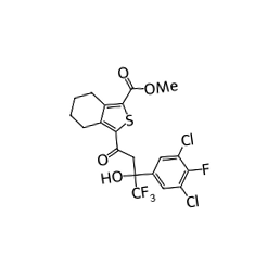 COC(=O)c1sc(C(=O)CC(O)(c2cc(Cl)c(F)c(Cl)c2)C(F)(F)F)c2c1CCCC2